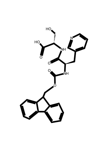 O=C(N[C@H](Cc1cccnc1)C(=O)N[C@@H](CO)C(=O)O)OCC1c2ccccc2-c2ccccc21